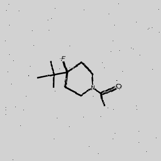 CC(=O)N1CCC(F)(C(C)(C)C)CC1